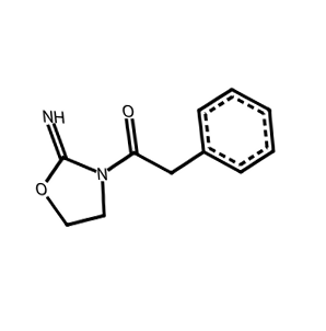 N=C1OCCN1C(=O)Cc1ccccc1